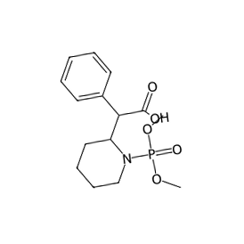 COP(=O)(OC)N1CCCCC1C(C(=O)O)c1ccccc1